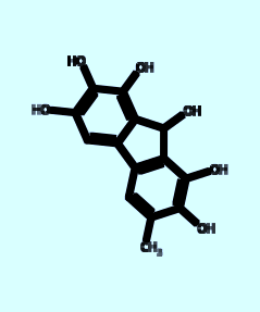 Cc1cc2c(c(O)c1O)C(O)c1c-2cc(O)c(O)c1O